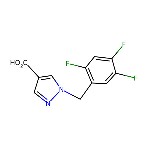 O=C(O)c1cnn(Cc2cc(F)c(F)cc2F)c1